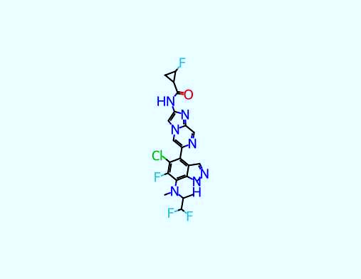 CC(C(F)F)N(C)c1c(F)c(Cl)c(-c2cn3cc(NC(=O)C4CC4F)nc3cn2)c2cn[nH]c12